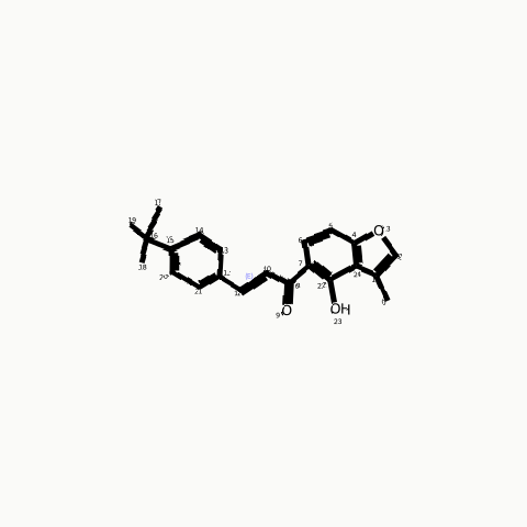 Cc1coc2ccc(C(=O)/C=C/c3ccc(C(C)(C)C)cc3)c(O)c12